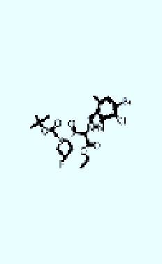 CCOC(=O)C(C(=O)[C@@H]1C[C@@H](F)CN1C(=O)OC(C)(C)C)n1cc2c(C)cc(Br)c(Cl)c2n1